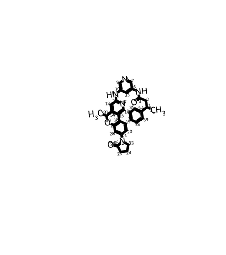 CC(CC(=O)Nc1cncc(Nc2cc3c(cn2)-c2ccc(N4CCCC4=O)cc2OC3C)c1)c1ccccc1